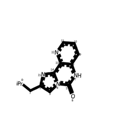 CC(C)Cc1cn2c(=O)[nH]c3cccnc3c2n1